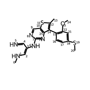 CN/C=C(\C=N)Nc1ncc2sc(C)c(-c3ccc(SC)cc3OC)c2n1